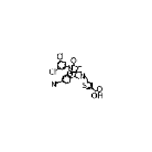 CC1C(=O)N(c2cc(Cl)cc(Cl)c2)C(=O)[C@]12CN(Cc1cc(C(=O)O)cs1)C[C@H]2c1ccc(C#N)cc1